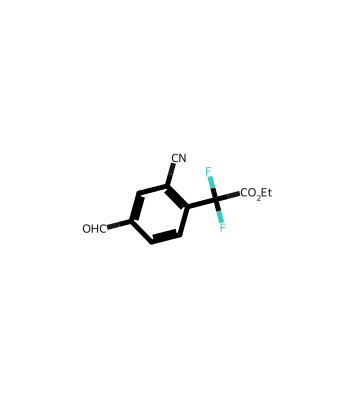 CCOC(=O)C(F)(F)c1ccc(C=O)cc1C#N